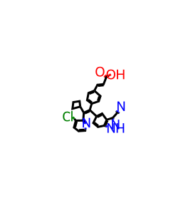 N#Cc1n[nH]c2ccc(C(=C(c3ncccc3Cl)C3CCC3)c3ccc(C=CC(=O)O)cc3)cc12